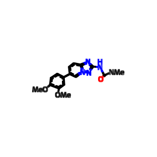 CNC(=O)Nc1nc2ccc(-c3ccc(OC)c(OC)c3)cn2n1